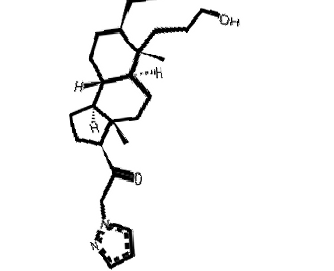 CC[C@@H]1CC[C@@H]2[C@H](CC[C@]3(C)[C@@H](C(=O)Cn4cccn4)CC[C@@H]23)[C@@]1(C)CCCO